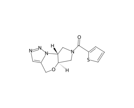 O=C(c1cccs1)N1C[C@@H]2[C@@H](C1)OCc1cnnn12